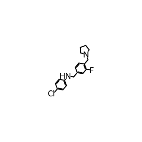 Fc1cc(CNc2ccc(Cl)cc2)ccc1CN1CCCC1